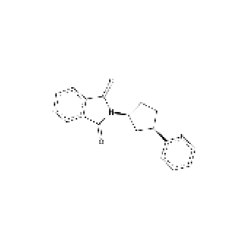 O=C1c2ccccc2C(=O)N1[C@H]1CC[C@@H](c2ccccn2)C1